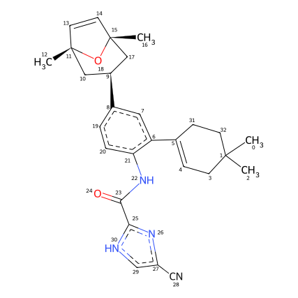 CC1(C)CC=C(c2cc([C@H]3C[C@]4(C)C=C[C@](C)(C3)O4)ccc2NC(=O)c2nc(C#N)c[nH]2)CC1